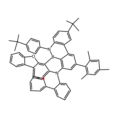 Cc1cc(C)c(-c2cc3c4c(c2)N(c2ccccc2-c2ccccc2)c2ccc5c(oc6ccccc65)c2B4N(c2ccc(C(C)(C)C)cc2)c2ccc(C(C)(C)C)cc2-3)c(C)c1